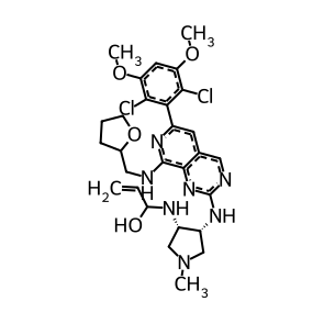 C=CC(O)N[C@H]1CN(C)C[C@H]1Nc1ncc2cc(-c3c(Cl)c(OC)cc(OC)c3Cl)nc(NCC3CCCO3)c2n1